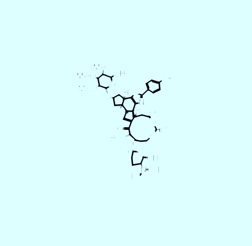 CC[C@H]1CCC[C@H](O[C@H]2CC[C@H](N(C)C)C(C)O2)[C@@H](C)C(=O)C2=C[C@H]3[C@@H]4C[C@H](O[C@@H]5OC(C)[C@H](OC)C(OC)C5OC)C[C@H]4c4sc(-c5ccc(C(F)(F)F)cc5)nc4[C@H]3[C@@H]2CC(=O)O1